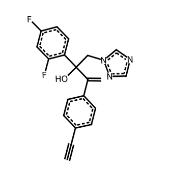 C#Cc1ccc(C(=C)C(O)(Cn2cncn2)c2ccc(F)cc2F)cc1